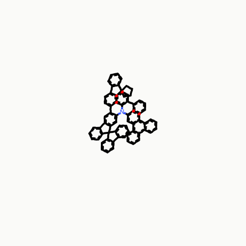 c1ccc(-c2ccccc2N(c2ccc3c4ccccc4c4ccccc4c3c2)c2cc3c(cc2-c2ccc4c(c2)C2(CCCC2)c2ccccc2-4)-c2ccccc2C32c3ccccc3-c3ccccc32)cc1